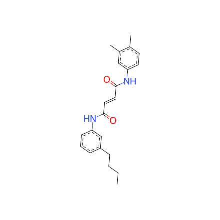 CCCCc1cccc(NC(=O)C=CC(=O)Nc2ccc(C)c(C)c2)c1